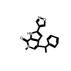 CC(c1ccccc1)c1cn(C)c(=O)c2[nH]c(-c3cnoc3)cc12